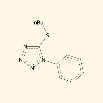 CCCCSc1nnnn1-c1ccccc1